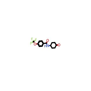 O=C1CCC(NC(=O)c2ccc(OC(F)(F)F)cc2)CC1